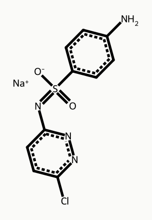 Nc1ccc(S(=O)([O-])=Nc2ccc(Cl)nn2)cc1.[Na+]